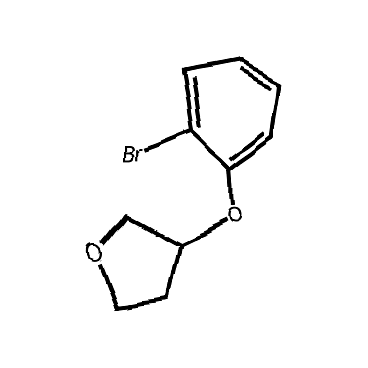 Brc1ccccc1OC1CCOC1